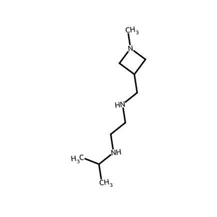 CC(C)NCCNCC1CN(C)C1